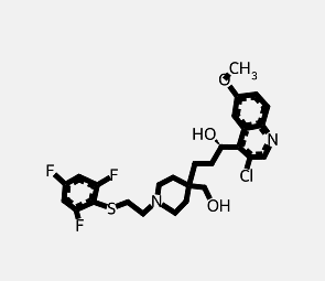 COc1ccc2ncc(Cl)c([C@@H](O)CCC3(CO)CCN(CCSc4c(F)cc(F)cc4F)CC3)c2c1